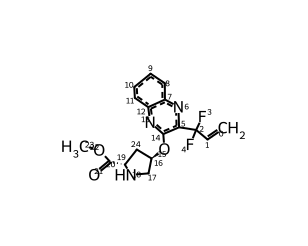 C=CC(F)(F)c1nc2ccccc2nc1O[C@H]1CN[C@H](C(=O)OC)C1